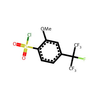 COc1cc(C(F)(C(F)(F)F)C(F)(F)F)ccc1S(=O)(=O)Cl